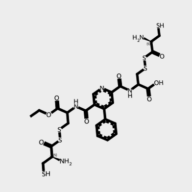 CCOC(=O)C(CSSC(=O)[C@@H](N)CS)NC(=O)c1cnc(C(=O)NC(CSSC(=O)[C@@H](N)CS)C(=O)O)cc1-c1ccccc1